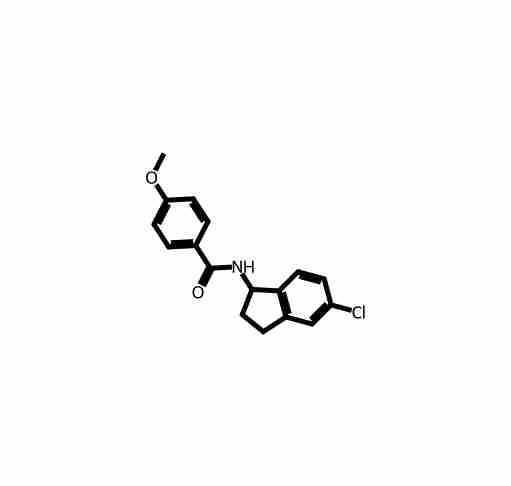 COc1ccc(C(=O)NC2CCc3cc(Cl)ccc32)cc1